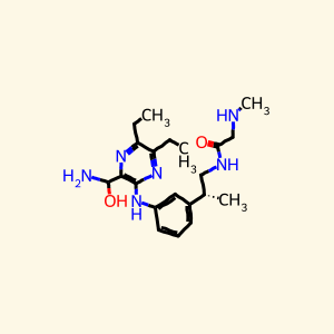 CCc1nc(Nc2cccc([C@@H](C)CNC(=O)CNC)c2)c(C(N)O)nc1CC